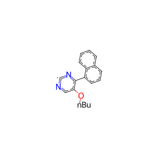 CCCCOc1cn[c]nc1-c1cccc2ccccc12